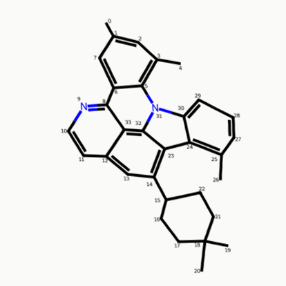 Cc1cc(C)c2c(c1)c1nccc3cc(C4CCC(C)(C)CC4)c4c5c(C)cccc5n2c4c31